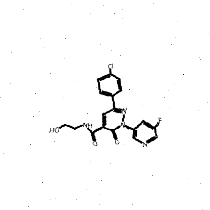 O=C(NCCO)c1cc(-c2ccc(Cl)cc2)nn(-c2cncc(F)c2)c1=O